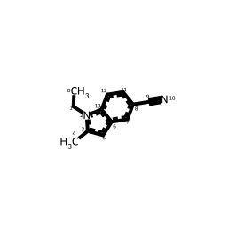 CCn1c(C)cc2cc(C#N)ccc21